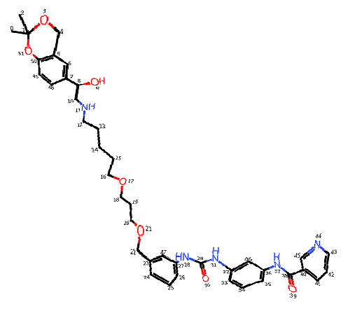 CC1(C)OCc2cc([C@@H](O)CNCCCCCOCCCOCc3cccc(NC(=O)Nc4cccc(NC(=O)c5cccnc5)c4)c3)ccc2O1